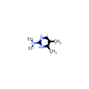 CCN(CC)c1ncc(C)c(C)n1